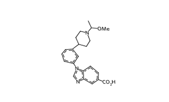 COC(C)N1CCC(c2cccc(-n3cnc4cc(C(=O)O)ccc43)c2)CC1